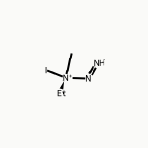 CC[N@+](C)(I)N=N